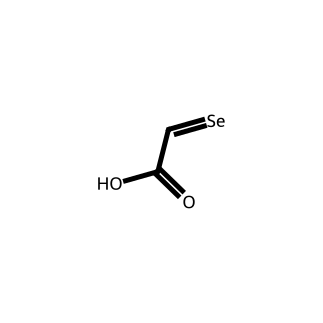 O=C(O)C=[Se]